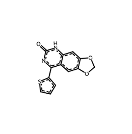 O=c1nc(-c2cccs2)c2cc3c(cc2[nH]1)OCO3